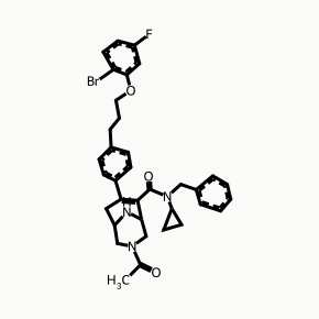 CC(=O)N1CC2CC(c3ccc(CCCOc4cc(F)ccc4Br)cc3)=C(C(=O)N(Cc3ccccc3)C3CC3)C(C1)N2